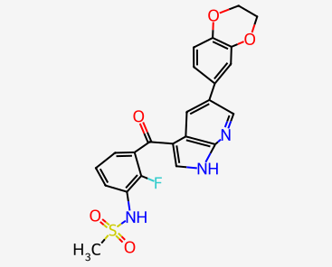 CS(=O)(=O)Nc1cccc(C(=O)c2c[nH]c3ncc(-c4ccc5c(c4)OCCO5)cc23)c1F